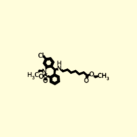 CCOC(=O)CCCCCCNC1c2ccc(Cl)cc2N(CC)S(=O)(=O)c2ccccc21